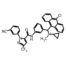 CN(C1CC1)C(c1cccc(NC(=O)c2cc(C(F)(F)F)nn2-c2cccc(C#N)c2)c1)c1c2ccccc2c(Cl)c2ccccc12